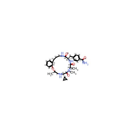 C[C@@H]1CN[C@@H](C2CC2)C(=O)N(C)[C@H](C)C(=O)N[C@H](Cc2ccc(C(N)=O)cc2)C(=O)NCCCc2ccccc2O1